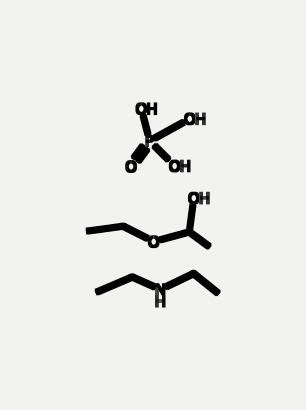 CCNCC.CCOC(C)O.O=P(O)(O)O